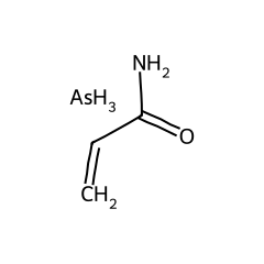 C=CC(N)=O.[AsH3]